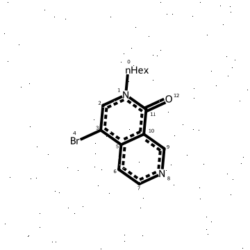 CCCCCCn1cc(Br)c2ccncc2c1=O